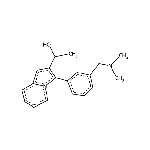 CC(O)c1cc2ccccn2c1-c1cccc(CN(C)C)c1